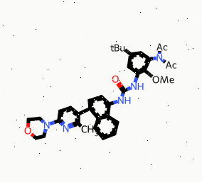 COc1c(NC(=O)Nc2ccc(-c3ccc(N4CCOCC4)nc3C)c3ccccc23)cc(C(C)(C)C)cc1N(C(C)=O)C(C)=O